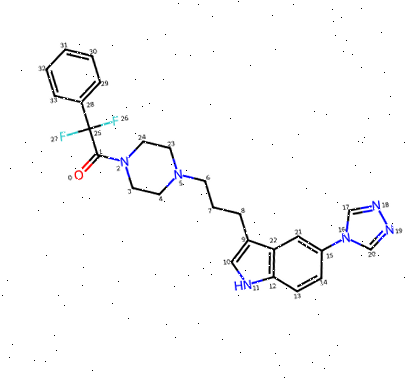 O=C(N1CCN(CCCc2c[nH]c3ccc(-n4cnnc4)cc23)CC1)C(F)(F)c1ccccc1